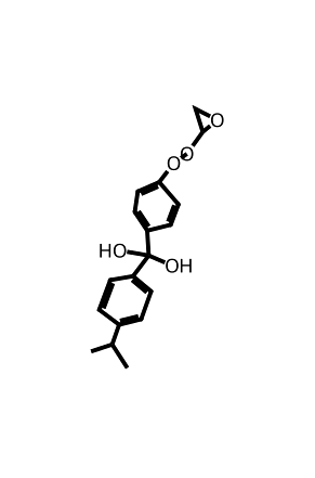 CC(C)c1ccc(C(O)(O)c2ccc(OOC3CO3)cc2)cc1